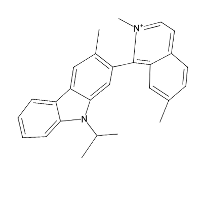 Cc1ccc2cc[n+](C)c(-c3cc4c(cc3C)c3ccccc3n4C(C)C)c2c1